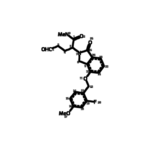 CNC(=O)C(CCC=O)N1Cc2c(OCc3ccc(OC)cc3F)cccc2C1=O